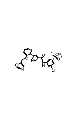 CS(=O)(=O)c1cc(Cl)cc(NC(=O)c2cnn(-c3ncccc3OCc3cnco3)c2)c1